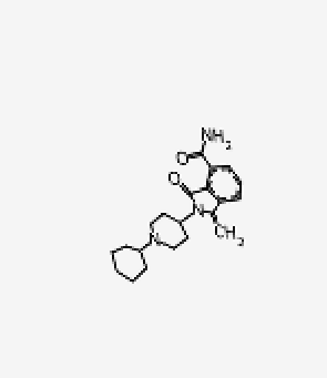 C=C1c2cccc(C(N)=O)c2C(=O)N1C1CCN(C2CCCCC2)CC1